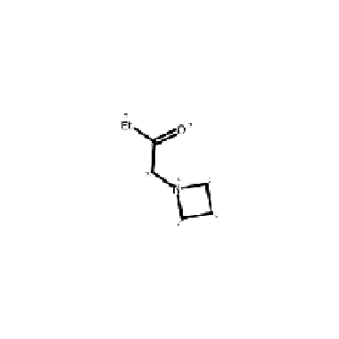 CCC(=O)CN1CCC1